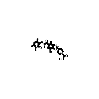 Cc1cc(C)c(CNC(=O)c2cc(Br)c3c(c2C)O[C@@](C)(C2CCN(C(=O)O)CC2)O3)c(=O)[nH]1